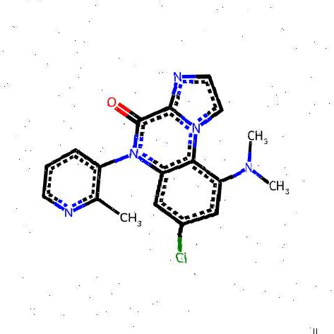 Cc1ncccc1-n1c(=O)c2nccn2c2c(N(C)C)cc(Cl)cc21